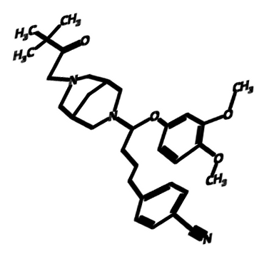 COc1ccc(OC(CCCc2ccc(C#N)cc2)N2CC3CC(CN(CC(=O)C(C)(C)C)C3)C2)cc1OC